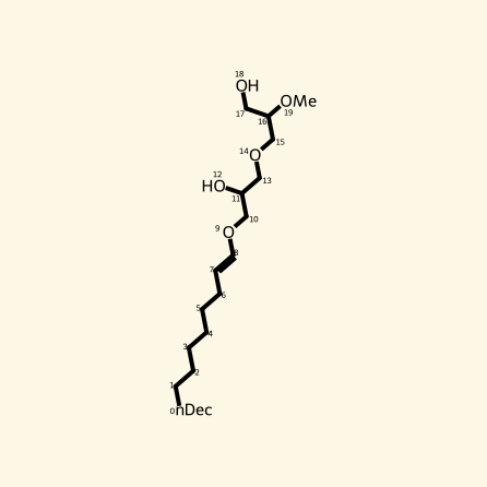 CCCCCCCCCCCCCCCCC=COCC(O)COCC(CO)OC